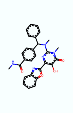 CNC(=O)c1ccc(C(c2ccccc2)N(C)c2nc(-c3nc4ccccc4o3)c(O)c(=O)n2C)cc1